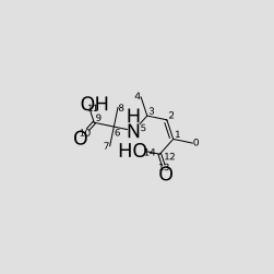 CC(=CC(C)NC(C)(C)C(=O)O)C(=O)O